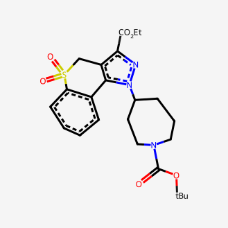 CCOC(=O)c1nn(C2CCCN(C(=O)OC(C)(C)C)CC2)c2c1CS(=O)(=O)c1ccccc1-2